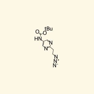 CC(C)(C)OC(=O)Nc1cnc(CCN=[N+]=[N-])nc1